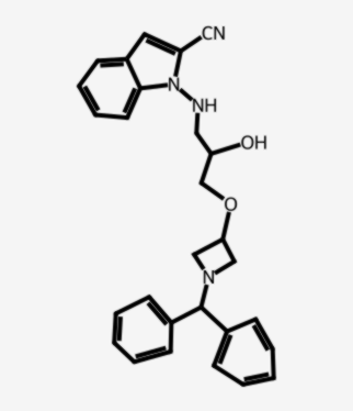 N#Cc1cc2ccccc2n1NCC(O)COC1CN(C(c2ccccc2)c2ccccc2)C1